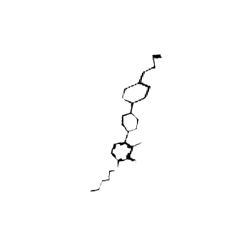 C=CCCC1CCC(C2CCC(c3ccc(OCCCCC)c(F)c3F)CC2)CC1